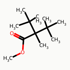 COC(=O)C(C)(C(C)(C)C)C(C)(C)C